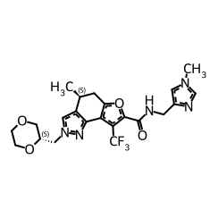 C[C@H]1Cc2oc(C(=O)NCc3cn(C)cn3)c(C(F)(F)F)c2-c2nn(C[C@H]3COCCO3)cc21